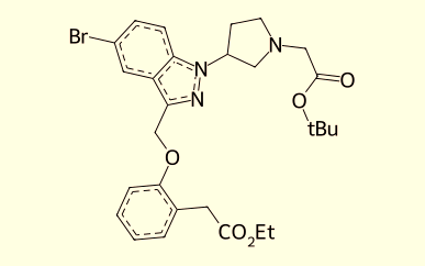 CCOC(=O)Cc1ccccc1OCc1nn(C2CCN(CC(=O)OC(C)(C)C)C2)c2ccc(Br)cc12